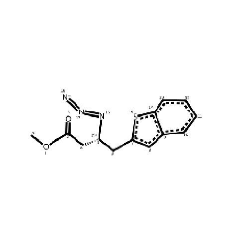 COC(=O)C[C@@H](Cc1cc2ccccc2s1)N=[N+]=[N-]